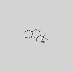 CC(=O)C(C)(C)C1CCC2CCCC=C2C1C